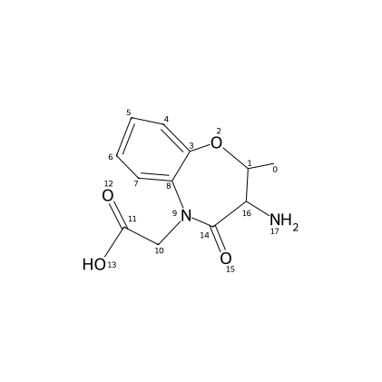 CC1Oc2ccccc2N(CC(=O)O)C(=O)C1N